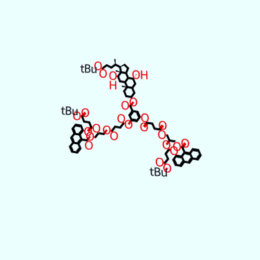 C[C@H](CCC(=O)OC(C)(C)C)[C@H]1CCC2C3C(C[C@H](O)[C@@]21C)[C@@]1(C)CC[C@@H](OC(=O)c2cc(OC(=O)CCC(=O)OCC(COC(=O)c4c5ccccc5cc5ccccc45)OC(=O)CCC(=O)OC(C)(C)C)cc(OC(=O)CCC(=O)OCC(COC(=O)c4c5ccccc5cc5ccccc45)OC(=O)CCC(=O)OC(C)(C)C)c2)CC1C[C@H]3O